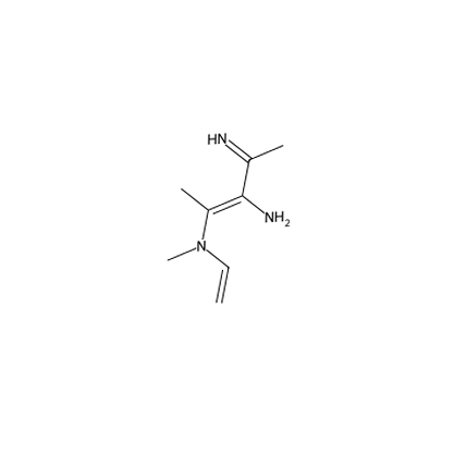 C=CN(C)/C(C)=C(\N)C(C)=N